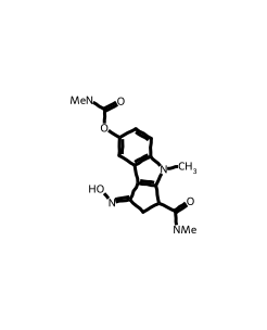 CNC(=O)Oc1ccc2c(c1)c1c(n2C)C(C(=O)NC)CC1=NO